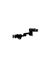 COc1ccc2nccc(CCCc3ccc(CCCOC(=O)[C@@H]4CCCNC4)cc3)c2c1